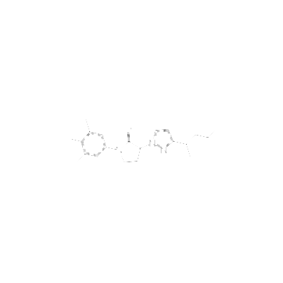 CCCC(C)c1ccn(C2CCN(c3cc(C)c(F)c(C)c3)C2=O)n1